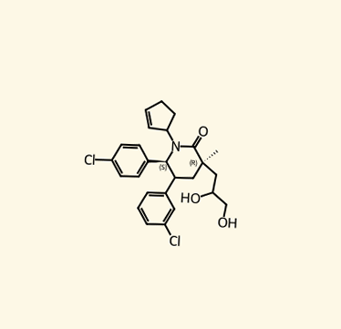 C[C@]1(CC(O)CO)CC(c2cccc(Cl)c2)[C@@H](c2ccc(Cl)cc2)N(C2C=CCC2)C1=O